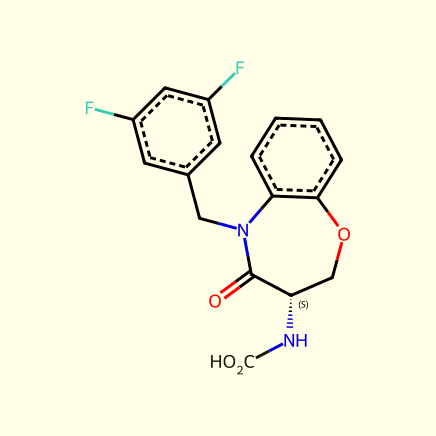 O=C(O)N[C@H]1COc2ccccc2N(Cc2cc(F)cc(F)c2)C1=O